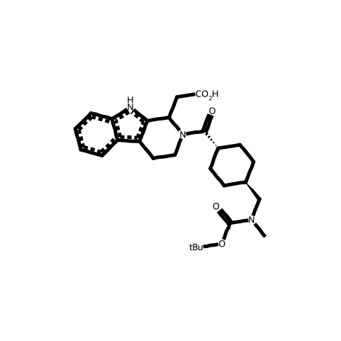 CN(C[C@H]1CC[C@H](C(=O)N2CCc3c([nH]c4ccccc34)C2CC(=O)O)CC1)C(=O)OC(C)(C)C